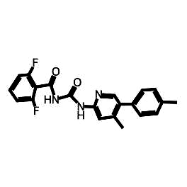 Cc1ccc(-c2cnc(NC(=O)NC(=O)c3c(F)cccc3F)cc2C)cc1